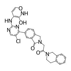 O=C(CN1Cc2ccc(-c3nc(NC4=C(O)NOC=C4)ncc3Cl)cc2C1=O)N1CCc2ccccc2C1